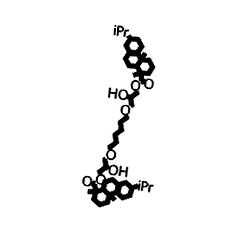 CC(C)C1CCC2=C(CCC3C(C)(C(=O)OCC(O)COCCCCCCOCC(O)COC(=O)C4(C)CCCC5(C)C6=C(CCC45)CC(C(C)C)CC6)CCCC23C)C1